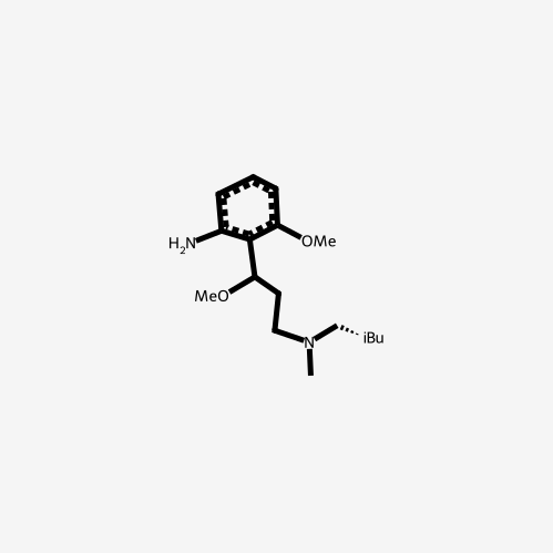 CC[C@@H](C)CN(C)CCC(OC)c1c(N)cccc1OC